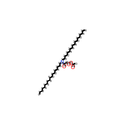 CCCCCCCCCCCCCCCCCCN(CCCCCCCCCCCCCCCCCC)C(=O)COOC(C)=O